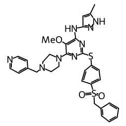 COc1c(Nc2cc(C)[nH]n2)nc(Sc2ccc(S(=O)(=O)Cc3ccccc3)cc2)nc1N1CCN(Cc2ccncc2)CC1